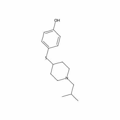 CC(C)CN1CCC(Sc2ccc(O)cc2)CC1